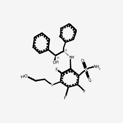 NS(=O)(=O)c1c(F)c(F)c(SCCO)c(F)c1N[C@@H](c1ccccc1)[C@@H](O)c1ccccc1